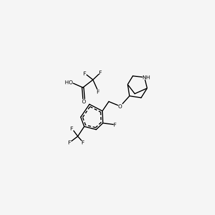 Fc1cc(C(F)(F)F)ccc1COC1CC2CC1CN2.O=C(O)C(F)(F)F